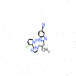 CC(Cc1nc2cc(C#N)ccc2[nH]1)Cn1ccnc1-c1ncccc1F